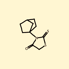 O=C1CSC(=S)N1C12CCC(CC1)C2